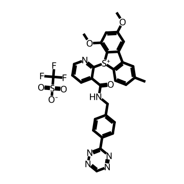 COc1cc(OC)c2c(c1)c1cc(C)ccc1[s+]2-c1ncccc1C(=O)NCc1ccc(-c2nncnn2)cc1.O=S(=O)([O-])C(F)(F)F